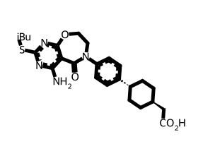 CCC(C)Sc1nc(N)c2c(n1)OCCN(c1ccc([C@H]3CC[C@H](CC(=O)O)CC3)cc1)C2=O